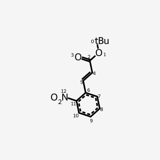 CC(C)(C)OC(=O)/C=C/c1ccccc1[N+](=O)[O-]